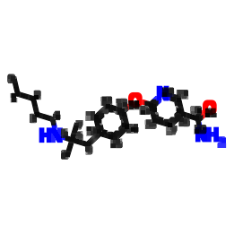 CCCCCNC(C)(C)Cc1ccc(Oc2ccc(C(N)=O)cn2)cc1